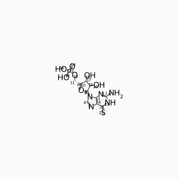 Nc1nc2c(ncn2[C@@H]2O[C@H](COP(=O)(O)O)C(O)C2O)c(=S)[nH]1